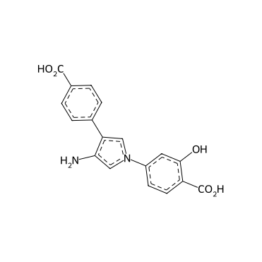 Nc1cn(-c2ccc(C(=O)O)c(O)c2)cc1-c1ccc(C(=O)O)cc1